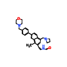 Cc1c(/C=C\NC=O)cc(CN2CCC2)c2ccc(-c3ccc(CN4CCOCC4)cc3)cc12